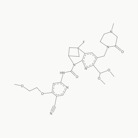 COCCOc1cc(NC(=O)N2c3nc(C(OC)OC)c(CN4CCN(C)CC4=O)cc3C3(F)CC2C3)ncc1C#N